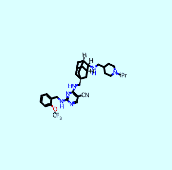 CC(C)N1CCC(CN[C@@H]2[C@@H]3CC4C[C@H]2C[C@@](CNc2nc(NCc5ccccc5OC(F)(F)F)ncc2C#N)(C4)C3)CC1